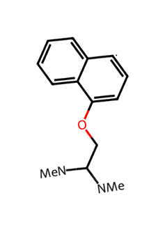 CNC(COc1cc[c]c2ccccc12)NC